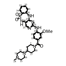 COc1cc(C(=O)N2CCC(N3CCN(C)CC3)CC2)ccc1Nc1ncc2c(n1)Nc1ccccc1S(=O)(=O)N2